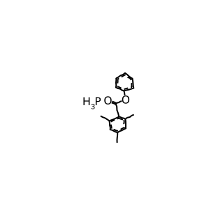 Cc1cc(C)c(C(=O)Oc2ccccc2)c(C)c1.P